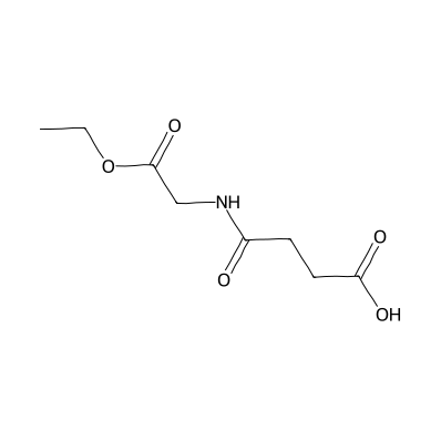 CCOC(=O)CNC(=O)CCC(=O)O